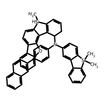 C[SiH]1C2=C(c3c1ccc1c3oc3ccccc31)C(N(c1ccc(-c3ccc4ccccc4c3)cc1)c1ccc3c(c1)-c1ccccc1[Si]3(C)C)CC=C2